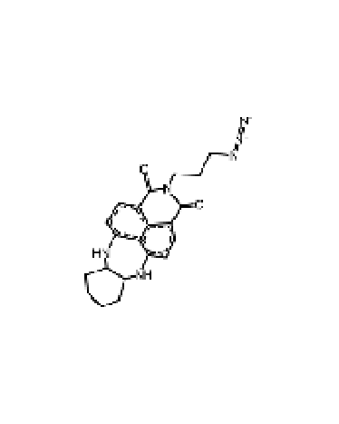 [N-]=[N+]=NCCCN1C(=O)c2ccc3c4c(ccc(c24)C1=O)NC1CCCCC1N3